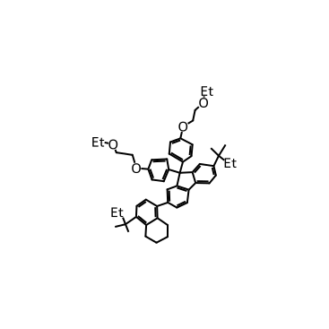 CCOCCOc1ccc(C2(c3ccc(OCCOCC)cc3)c3cc(-c4ccc(C(C)(C)CC)c5c4CCCC5)ccc3-c3ccc(C(C)(C)CC)cc32)cc1